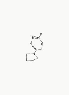 Fc1ccc(N2C[CH]CC2)nn1